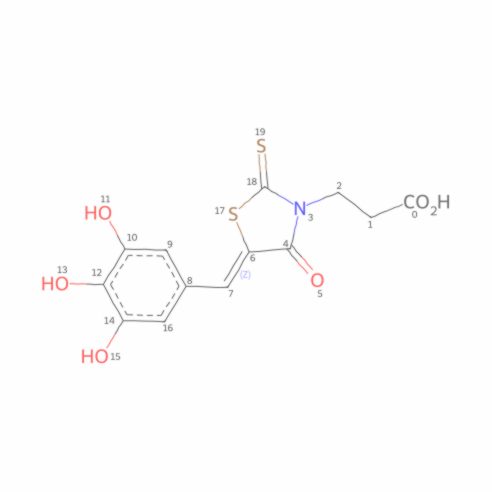 O=C(O)CCN1C(=O)/C(=C/c2cc(O)c(O)c(O)c2)SC1=S